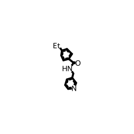 CCc1ccc(C(=O)NCc2cccnc2)cc1